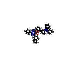 c1ccc(-c2nc(-c3ccc4ccccc4c3)c3oc4c(-c5cccc(-n6c7ccccc7c7ccccc76)c5)cccc4c3n2)cc1